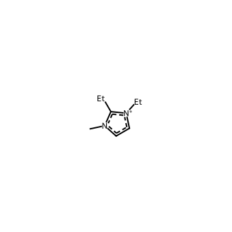 CCc1n(C)cc[n+]1CC